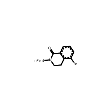 CCCCCN1CCc2c(Br)cccc2C1=O